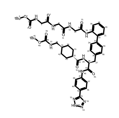 CC(C)(C)OC(=O)NCC(=O)NCC(=O)NCC(=O)Nc1ccccc1-c1ccc(C[C@H](NC(=O)[C@H]2CC[C@H](CNC(=O)OC(C)(C)C)CC2)C(=O)Nc2ccc(-c3nn[nH]n3)cc2)cc1